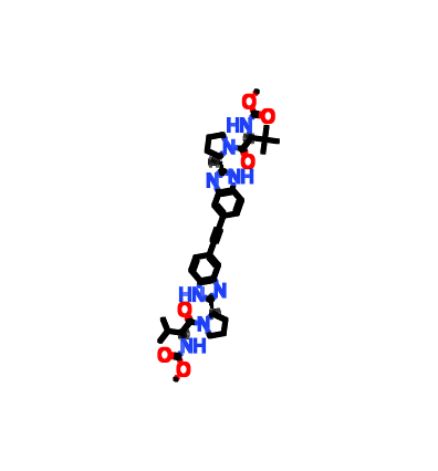 COC(=O)N[C@H](C(=O)N1CCC[C@H]1c1nc2cc(C#Cc3ccc4[nH]c([C@@H]5CCCN5C(=O)[C@@H](NC(=O)OC)C(C)(C)C)nc4c3)ccc2[nH]1)C(C)C